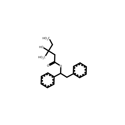 O=C(O)CC(O)(CC(=O)OC(Cc1ccccc1)c1ccccc1)C(=O)O